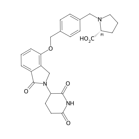 O=C1CCC(N2Cc3c(OCc4ccc(CN5CCC[C@@H]5C(=O)O)cc4)cccc3C2=O)C(=O)N1